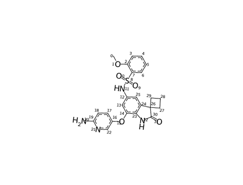 COc1ccccc1S(=O)(=O)Nc1cc(Oc2ccc(N)nc2)c2c(c1)C1(CCC1)C(=O)N2